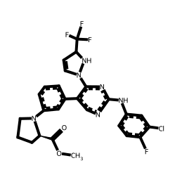 COC(=O)[C@H]1CCCN1c1cccc(-c2cnc(Nc3ccc(F)c(Cl)c3)nc2N2C=CC(C(F)(F)F)N2)c1